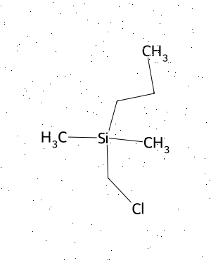 CCC[Si](C)(C)CCl